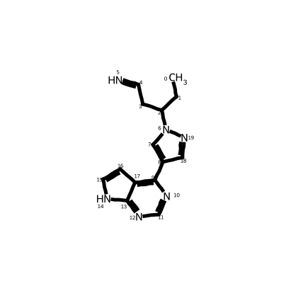 CCC(CC=N)n1cc(-c2ncnc3[nH]ccc23)cn1